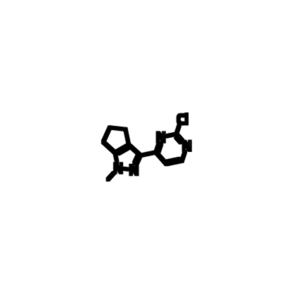 Cn1nc(-c2ccnc(Cl)n2)c2c1CCC2